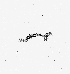 COc1ccc2nc(-c3ccc(NCCCCCCNC(=O)OC(C)(C)C)cc3)sc2c1